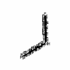 FC(F)(F)C(F)(F)C(F)(F)C(F)(F)C(F)(F)C(F)(F)C(F)(F)C(F)(F)C(F)(F)C(F)(F)C(F)(F)C(F)(F)C(F)(F)C(F)(F)C(F)(F)NC(F)(F)C(F)(F)C(F)(F)C(F)(F)C(F)(F)C(F)(F)C(F)(F)C(F)(F)C(F)(F)C(F)(F)C(F)(F)C(F)(F)C(F)(F)C(F)(F)C(F)(F)F